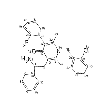 Cc1c(CC(N)c2ccccc2)c(=O)c(-c2ccccc2F)c(C)n1Cc1ccccc1Cl